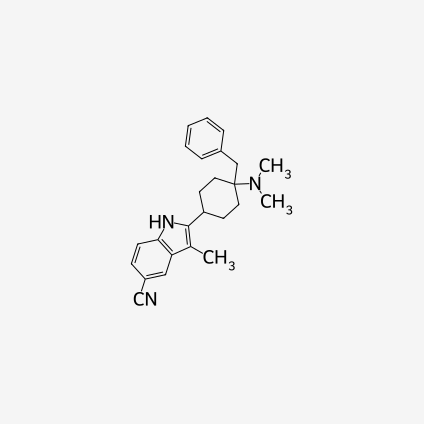 Cc1c(C2CCC(Cc3ccccc3)(N(C)C)CC2)[nH]c2ccc(C#N)cc12